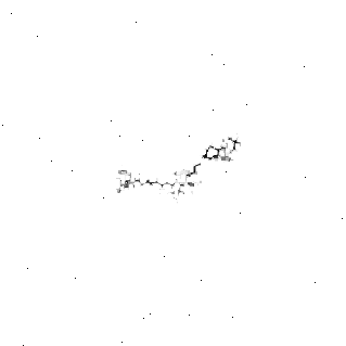 CB(O)/N=C(\N(CCCCCCCCN/C(=N\BC=O)NB(C)O)B(C)O)N(CCCCOc1ccc(C2=NCC(C)(C)CN2B(C)O)cc1)B(C)O